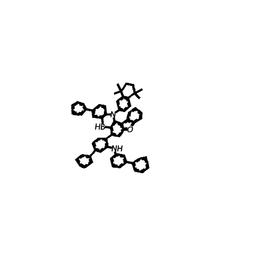 CC1(C)CCC(C)(C)c2cc(N3c4ccc(-c5ccccc5)cc4Bc4c(-c5ccc(-c6ccccc6)cc5Nc5cccc(-c6ccccc6)c5)cc5oc6ccccc6c5c43)ccc21